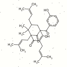 CC(C)=CCC1=C(O)C2(C(=O)c3cccc(O)c3)CC(CC=C(C)C)C(C)(C)C(CC=C(C)C)(C1=O)C2=O